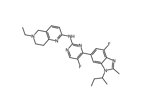 CCC(C)n1c(C)nc2c(F)cc(-c3nc(Nc4ccc5c(n4)CCN(CC)C5)ncc3F)cc21